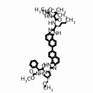 CCCC[C@H](NC(=O)[C@@H](NC(=O)OC)C(C)(C)C)c1nc2ccc3cc(-c4ccc5c(ccc6nc([C@@H]7C[C@H](COC)CN7C(=O)[C@H](NC(=O)OC)c7ccccc7)[nH]c65)c4)ccc3c2[nH]1